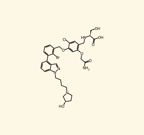 NC(=O)COc1cc(OCc2cccc(-c3cccc4c3cnn4CCCCN3CC[C@@H](O)C3)c2Br)c(Cl)cc1CN[C@@H](CO)C(=O)O